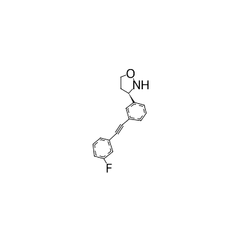 Fc1cccc(C#Cc2cccc([C@H]3CCON3)c2)c1